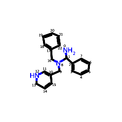 NC(c1ccccc1)N(CC1=CNCC=C1)Cc1ccccc1